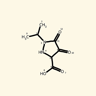 CC(C)N1NC(C(=O)O)C(=O)C1=O